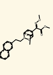 CON=C(C(=O)OC)c1cc2cc(C)c1ON2CCc1ccc2ccccc2c1